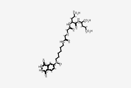 CCN(CCCCCCNC(=O)COCC(=O)NC(CCC(=O)O)C(=O)NC(CCC(=O)O)C(=O)O)c1ccc2c(=O)[nH][nH]c(=O)c2c1